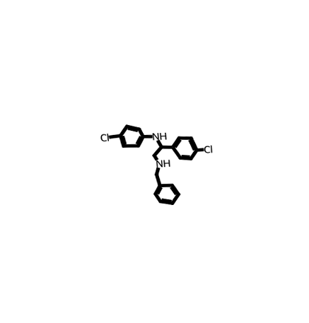 Clc1ccc(NC(CNCc2ccccc2)c2ccc(Cl)cc2)cc1